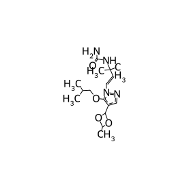 CC(C)COc1c(C2OC(C)O2)cnn1/C=C/C(C)(C)NC(N)=O